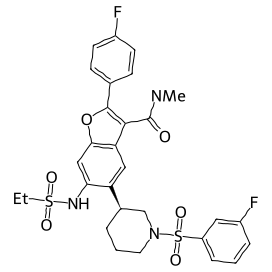 CCS(=O)(=O)Nc1cc2oc(-c3ccc(F)cc3)c(C(=O)NC)c2cc1[C@@H]1CCCN(S(=O)(=O)c2cccc(F)c2)C1